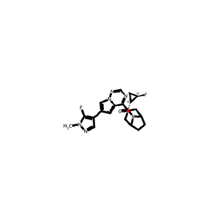 Cn1ncc(-c2cc3c(N4CC5CCC(C4)N5C(=O)[C@@H]4C[C@H]4F)ncnn3c2)c1F